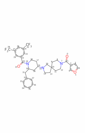 O=C(c1ccoc1)N1CCC2(CC1)CCN(C1CCN(C(=O)c3cc(C(F)(F)F)cc(C(F)(F)F)c3)C(Cc3ccccc3)C1)C2